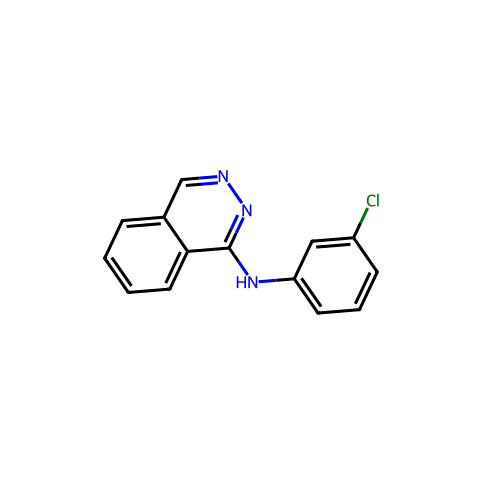 Clc1cccc(Nc2nncc3ccccc23)c1